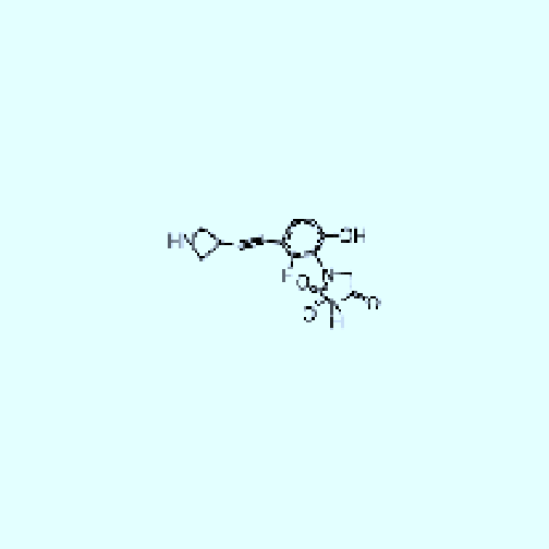 O=C1CN(c2c(O)ccc(C#CC3CNC3)c2F)S(=O)(=O)N1